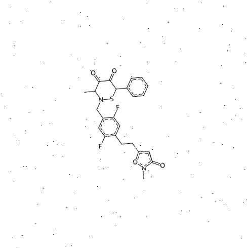 CC1C(=O)C(=O)C(c2ccccc2)SN1Cc1cc(F)c(CCc2cc(=O)n(C)o2)cc1F